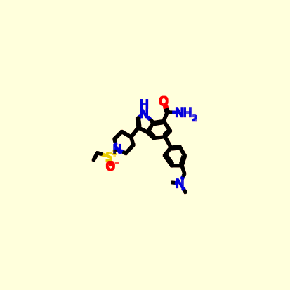 CC[S+]([O-])N1CCC(c2c[nH]c3c(C(N)=O)cc(-c4ccc(CN(C)C)cc4)cc23)CC1